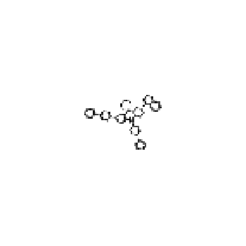 c1ccc(-c2ccc(-c3ccc4c(c3)C3(CCCCC3)c3cc(-c5cccc6ccccc56)ccc3N4c3ccc(-c4ccccc4)cc3)cc2)cc1